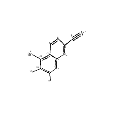 Cc1cc2nc(C#N)ccc2c(Br)c1C